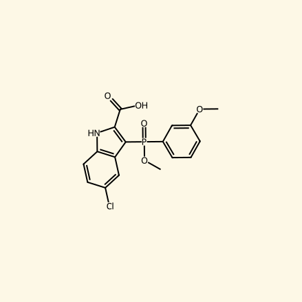 COc1cccc(P(=O)(OC)c2c(C(=O)O)[nH]c3ccc(Cl)cc23)c1